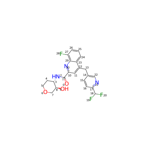 O=C(N[C@H]1CCOC[C@@H]1O)c1cc(Cc2ccc(C(F)F)nc2)c2cccc(F)c2n1